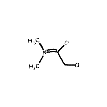 C[N+](C)=C(Cl)CCl